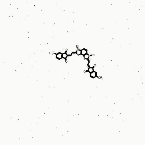 CCN1/C(=C/C=C2/C(=O)c3ccc(C)cc3C2=O)Sc2c1ccc1c2S/C(=C\C=C2\C(=O)c3ccc(C)cc3C2=O)N1CC